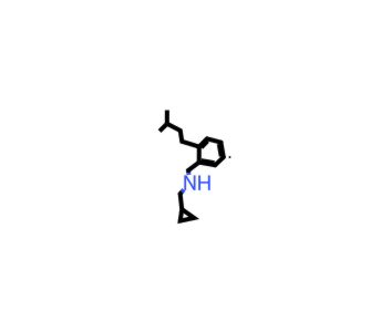 CC(C)CCc1cc[c]cc1CNCC1CC1